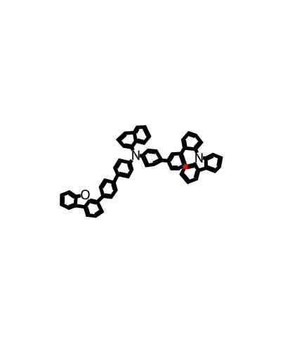 c1cc(-c2ccc(N(c3ccc(-c4ccc(-c5cccc6c5oc5ccccc56)cc4)cc3)c3cccc4ccccc34)cc2)cc(-c2ccccc2-n2c3ccccc3c3ccccc32)c1